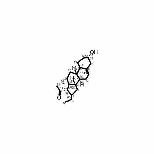 CC[C@@H]1C[C@H]2[C@@H]3CC=C4C[C@@H](O)CC[C@]4(C)[C@H]3CC[C@]2(C)[C@H]1C(C)=O